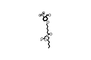 CCCCCCN(CC(=O)OC)C(=O)CCCCCOc1ccc([N+](=O)[O-])c(C=O)c1